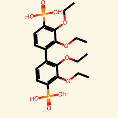 CCOc1c(-c2ccc(P(=O)(O)O)c(OCC)c2OCC)ccc(P(=O)(O)O)c1OCC